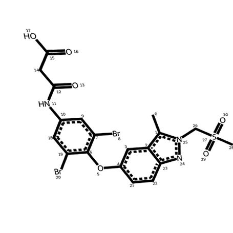 Cc1c2cc(Oc3c(Br)cc(NC(=O)CC(=O)O)cc3Br)ccc2nn1CS(C)(=O)=O